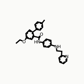 CCOc1ccc(-c2ccc(C)cc2)c(C(=O)Nc2ccc(NCCc3ccccn3)cc2)c1